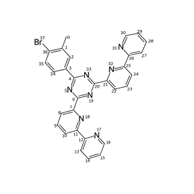 Cc1cc(-c2nc(-c3cccc(-c4ccccn4)n3)nc(-c3cccc(-c4ccccn4)n3)n2)ccc1Br